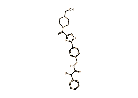 O=C(NCc1ccc(-c2nc(C(=O)N3CCC(CO)CC3)co2)cc1)C(F)c1ccccc1